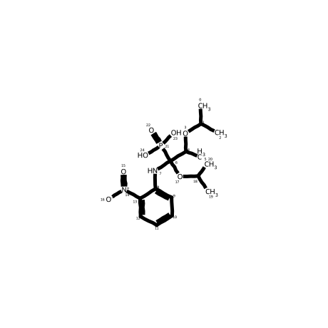 CC(C)OC(C)C(Nc1ccccc1[N+](=O)[O-])(OC(C)C)P(=O)(O)O